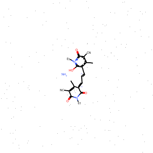 CCN1C(=O)C(C#N)=C(C)/C(=C\C=C\c2c(C)c(C#N)c(=O)n(CC)c2O)C1=O.N